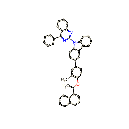 C=C(Oc1ccc(-c2ccc3c(c2)c2ccccc2n3-c2nc(-c3ccccc3)c3ccccc3n2)cc1C)c1cccc2ccccc12